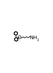 NCCCCCCOc1ccccc1-c1ccccc1